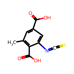 Cc1cc(C(=O)O)cc(N=C=S)c1C(=O)O